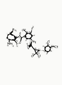 Nc1ccc(F)c(NC(=O)c2cc(NC(=O)C3[C@H](c4ccc(Cl)c(Cl)c4)C3(Cl)Cl)cc(F)c2Cl)c1F